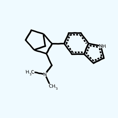 CN(C)CC1C2CCC(C2)C1c1ccc2[nH]ccc2c1